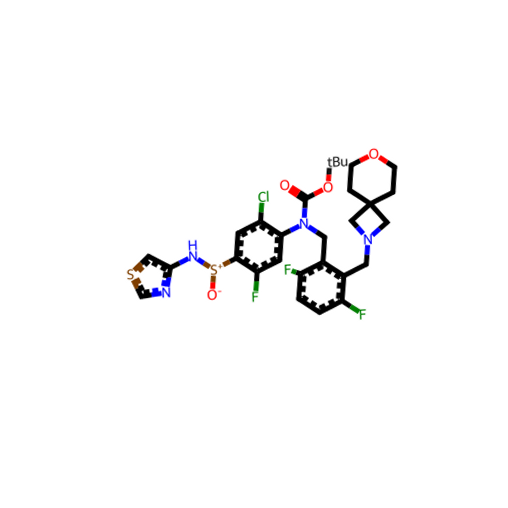 CC(C)(C)OC(=O)N(Cc1c(F)ccc(F)c1CN1CC2(CCOCC2)C1)c1cc(F)c([S+]([O-])Nc2cscn2)cc1Cl